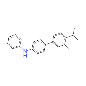 Cc1cc(-c2ccc(Nc3ccccc3)cc2)ccc1C(C)C